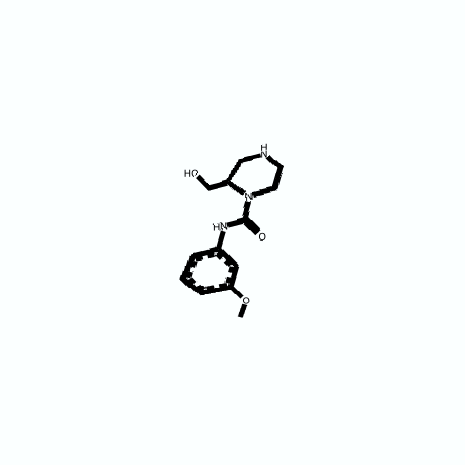 COc1cccc(NC(=O)N2CCNCC2CO)c1